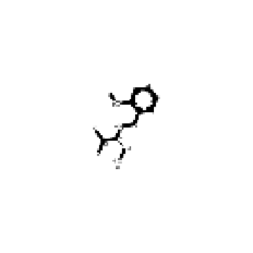 COc1ccccc1CN[C@H](CO)C(C)C